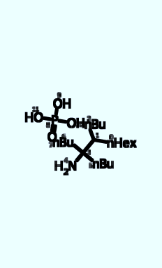 CCCCCCC(CCCC)C(N)(CCCC)CCCC.O=P(O)(O)O